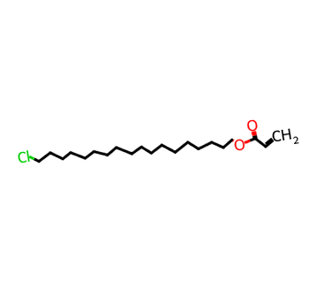 C=CC(=O)OCCCCCCCCCCCCCCCCCCCl